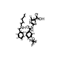 CCCCCNCc1ccccc1.Cc1nc(NC(=O)c2cccc(OC(F)(F)F)c2)sc1C(=O)O